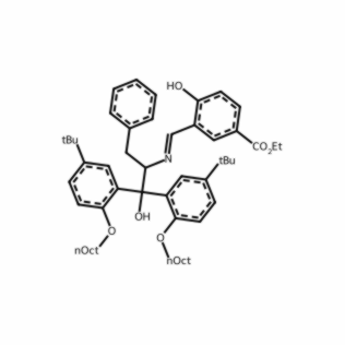 CCCCCCCCOc1ccc(C(C)(C)C)cc1C(O)(c1cc(C(C)(C)C)ccc1OCCCCCCCC)C(Cc1ccccc1)N=Cc1cc(C(=O)OCC)ccc1O